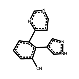 N#Cc1cccc(-c2ccncn2)c1-c1cn[nH]c1